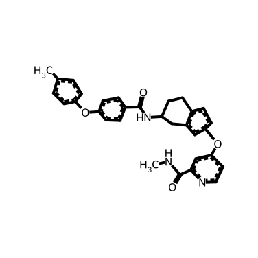 CNC(=O)c1cc(Oc2ccc3c(c2)CC(NC(=O)c2ccc(Oc4ccc(C)cc4)cc2)CC3)ccn1